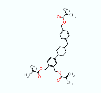 C=C(C)C(=O)OCc1ccc(CC2CCC(c3ccc(COC(=O)C(=C)C)c(COC(=O)C(=C)C)c3)CC2)cc1